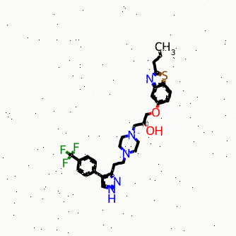 CCCc1nc2cc(OC[C@H](O)CN3CCN(CCc4n[nH]cc4-c4ccc(C(F)(F)F)cc4)CC3)ccc2s1